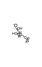 Cc1cccc(C[C@H](O)/C=C/[C@@H]2[C@H]3CC(CCOCC(=O)N(C)C(C)(C)C)=C[C@H]3C[C@H]2O)c1